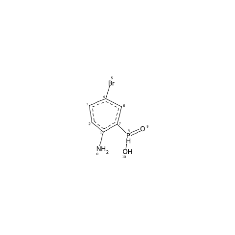 Nc1ccc(Br)cc1[PH](=O)O